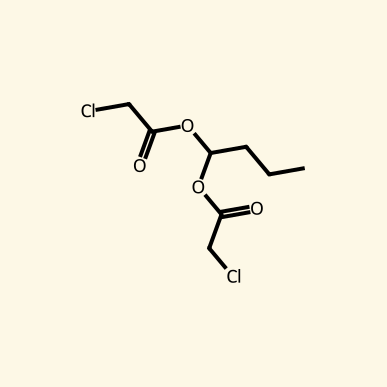 CCCC(OC(=O)CCl)OC(=O)CCl